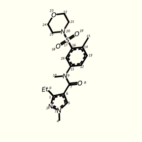 CCc1nn(C)cc1C(=O)N(C)c1ccc(C)c(S(=O)(=O)N2CCOCC2)c1